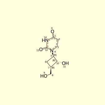 O=c1ccn([C@@H]2C[C@H](CO)[C@H]2O)c(=O)[nH]1